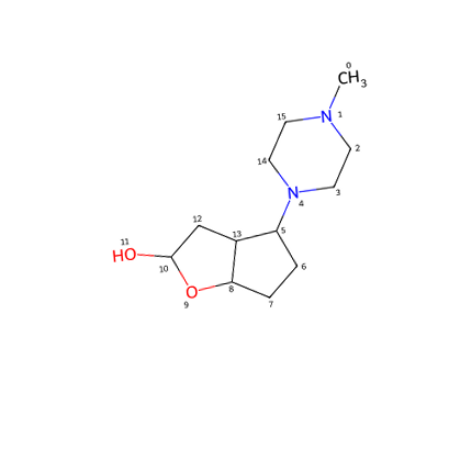 CN1CCN(C2CCC3OC(O)CC32)CC1